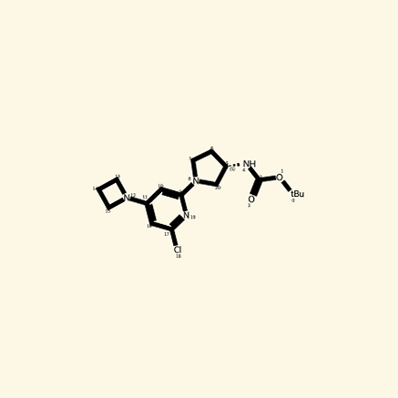 CC(C)(C)OC(=O)N[C@H]1CCN(c2cc(N3CCC3)cc(Cl)n2)C1